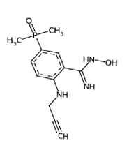 C#CCNc1ccc(P(C)(C)=O)cc1C(=N)NO